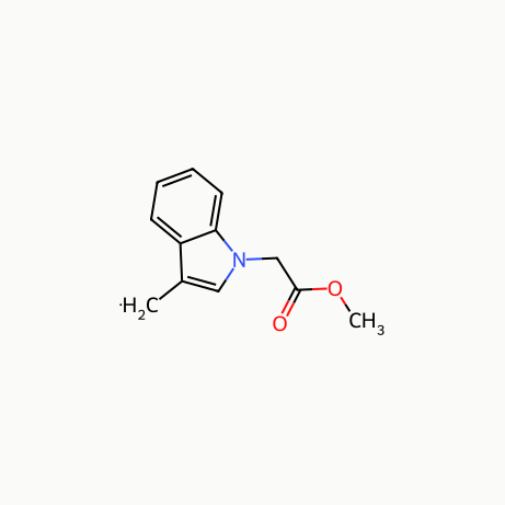 [CH2]c1cn(CC(=O)OC)c2ccccc12